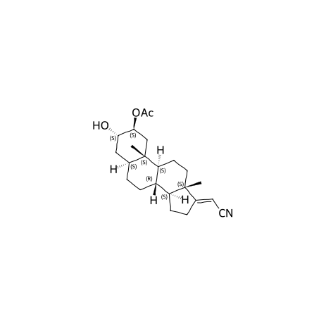 CC(=O)O[C@H]1C[C@@]2(C)[C@@H](CC[C@@H]3[C@@H]2CC[C@]2(C)C(=CC#N)CC[C@@H]32)C[C@@H]1O